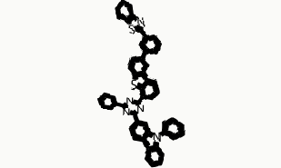 c1ccc(-c2nc(-c3ccc4c5ccccc5n(-c5ccccc5)c4c3)nc(-c3cccc4c3sc3ccc(-c5cccc(-c6nc7ccccc7s6)c5)cc34)n2)cc1